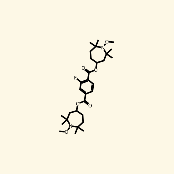 CON1C(C)(C)CCC(OC(=O)c2ccc(C(=O)OC3CCC(C)(C)N(OC)C(C)(C)C3)c(F)c2)CC1(C)C